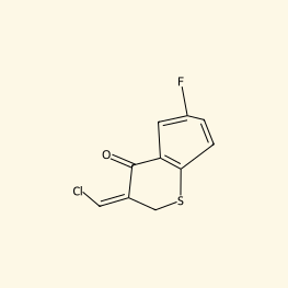 O=C1C(=CCl)CSc2ccc(F)cc21